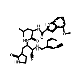 C#C/C=C(\C=C/C)CNC(C#N)C(CC1CCNC1=O)NC(=O)C(CC(C)C)NC(=O)c1cc2c(OC)cccc2[nH]1